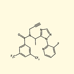 C#CCN(C(=O)c1cc(C(F)(F)F)cc(C(F)(F)F)c1)C(C)c1ncnn1-c1ncccc1F